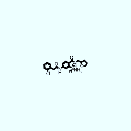 NS(=O)(=O)c1cc(NC(=O)Cc2ccccc2Cl)ccc1C(=O)NCC1CCCO1